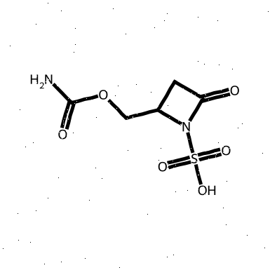 NC(=O)OCC1CC(=O)N1S(=O)(=O)O